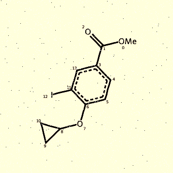 COC(=O)c1ccc(OC2CC2)c(I)c1